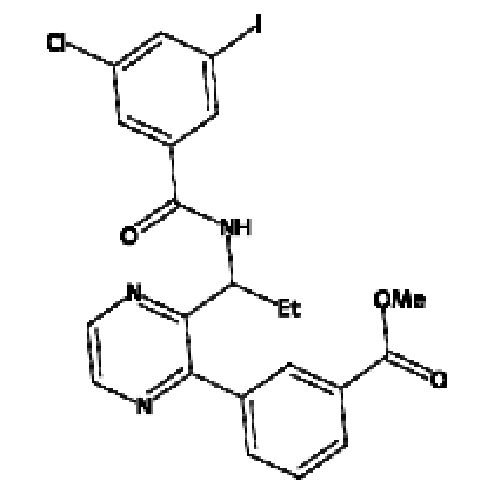 CCC(NC(=O)c1cc(Cl)cc(I)c1)c1nccnc1-c1cccc(C(=O)OC)c1